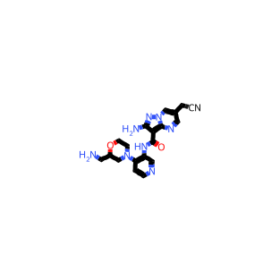 N#CCc1cnc2c(C(=O)Nc3cnccc3N3CCOC(CN)C3)c(N)nn2c1